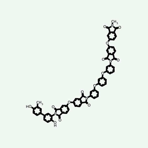 Cc1cc(-c2ccc(O)c(N3C(=O)c4ccc(Oc5ccc6c(c5)C(=O)N(c5cccc(Oc7cccc(Oc8cccc(N9C(=O)c%10ccc(Oc%11ccc%12c(c%11)C(=O)N(C)C%12=O)cc%10C9=O)c8)c7)c5)C6=O)cc4C3=O)c2)ccc1O